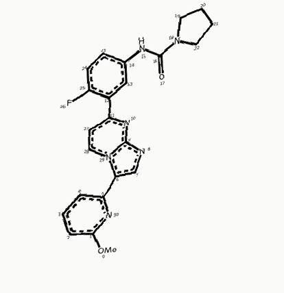 COc1cccc(-c2cnc3nc(-c4cc(NC(=O)N5CCCC5)ccc4F)ccn23)n1